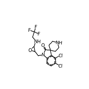 O=C1N(CC2OC2NCC(F)(F)F)c2ccc(Cl)c(Cl)c2C12CCNCC2